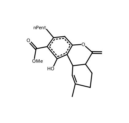 C=C1Oc2cc(CCCCC)c(C(=O)OC)c(O)c2C2C=C(C)CCC12